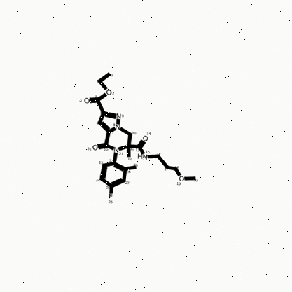 CCOC(=O)c1cc2n(n1)CC(C)(C(=O)NCCCOC)N(c1ccc(F)cc1C)C2=O